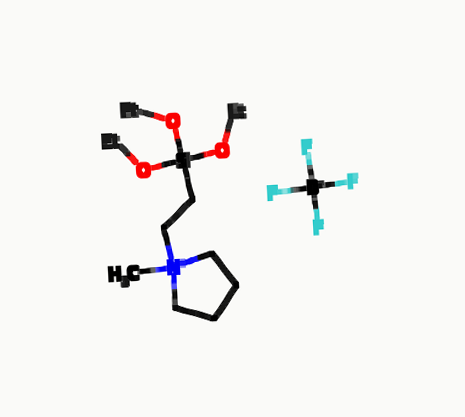 CCO[Si](CC[N+]1(C)CCCC1)(OCC)OCC.F[B-](F)(F)F